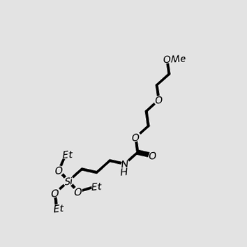 CCO[Si](CCCNC(=O)OCCOCCOC)(OCC)OCC